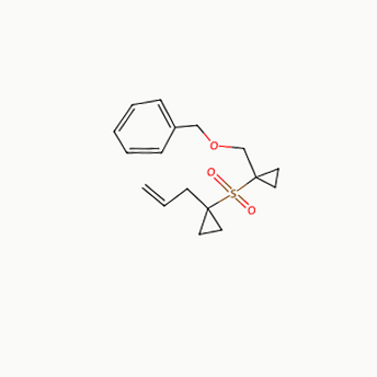 C=CCC1(S(=O)(=O)C2(COCc3ccccc3)CC2)CC1